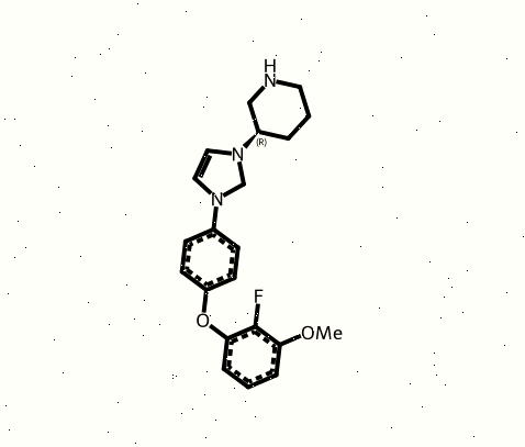 COc1cccc(Oc2ccc(N3C=CN([C@@H]4CCCNC4)C3)cc2)c1F